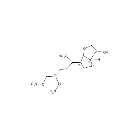 O=C(O)C(CC[C@@H](CO[N+](=O)[O-])O[N+](=O)[O-])[C@@H]1CO[C@@H]2C(O)COC12